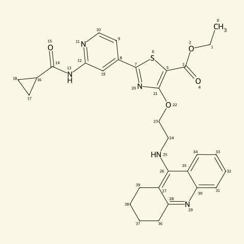 CCOC(=O)c1sc(-c2ccnc(NC(=O)C3CC3)c2)nc1OCCNc1c2c(nc3ccccc13)CCCC2